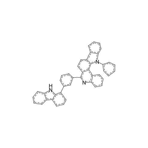 c1ccc(-n2c3ccccc3c3ccc4c(-c5cccc(-c6cccc7c6[nH]c6ccccc67)c5)nc5ccccc5c4c32)cc1